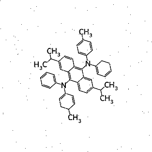 Cc1ccc(N(C2=CC=CCC2)c2c3ccc(C(C)C)cc3c(N(C3=CCC(C)C=C3)c3ccccc3)c3ccc(C(C)C)cc23)cc1